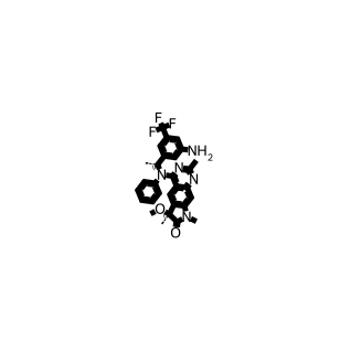 CO[C@]1(C)C(=O)N(C)c2cc3nc(C)nc(N(c4ccccc4)[C@H](C)c4cc(N)cc(C(F)(F)F)c4)c3cc21